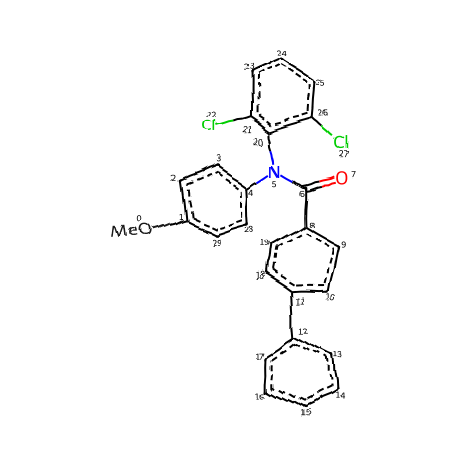 COc1ccc(N(C(=O)c2ccc(-c3ccccc3)cc2)c2c(Cl)cccc2Cl)cc1